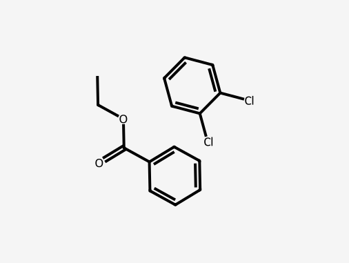 CCOC(=O)c1ccccc1.Clc1ccccc1Cl